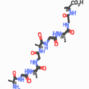 C[C@H](N)C(=O)NCC(=O)N[C@@H](C)C(=O)NCC(=O)N[C@@H](C)C(=O)NCC(=O)N[C@@H](C)C(=O)NCC(=O)N[C@@H](C)C(=O)O